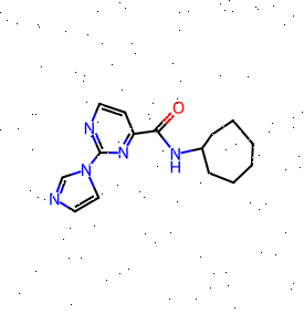 O=C(NC1CCCCCC1)c1ccnc(-n2ccnc2)n1